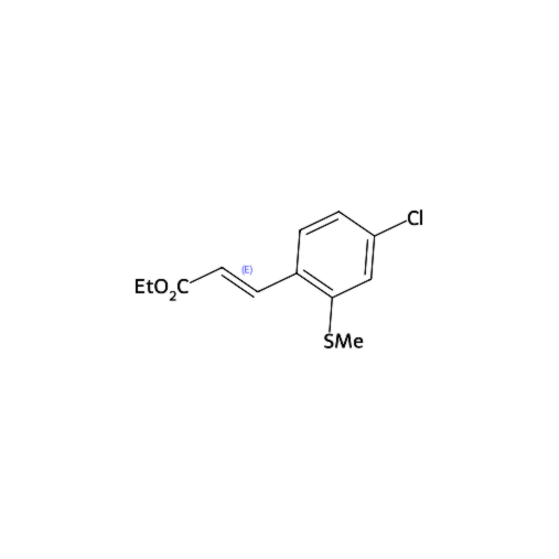 CCOC(=O)/C=C/c1ccc(Cl)cc1SC